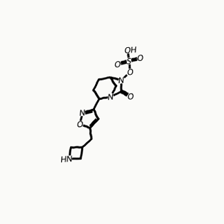 O=C1N2CC(CCC2c2cc(CC3CNC3)on2)N1OS(=O)(=O)O